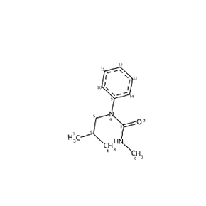 CNC(=O)N(CC(C)C)c1ccccc1